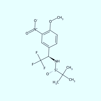 COc1ccc([C@@H](N[S@@+]([O-])C(C)(C)C)C(F)(F)F)cc1[N+](=O)[O-]